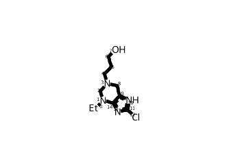 CCN1CN(CCCO)Cc2[nH]c(Cl)nc21